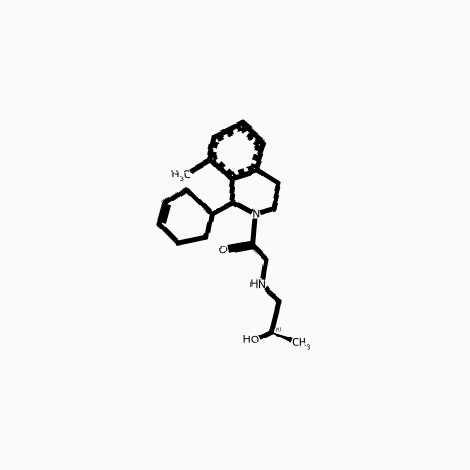 Cc1cccc2c1C(C1CC=CCC1)N(C(=O)CNC[C@@H](C)O)CC2